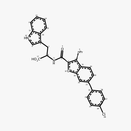 CCCc1c(C(=O)NC(Cc2c[nH]c3ccccc23)C(=O)O)oc2cc(-c3ccc(Cl)cc3)ccc12